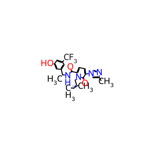 C/C=C(/C)Cn1c(C(=O)NC(C)c2cc(O)cc(C(F)(F)F)c2)ccc(-n2cnc(C)c2)c1=O